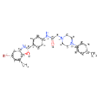 Cc1cc(Br)cc2nc(-c3ccc(NC(=O)CN4CCN(c5ccc(C(F)(F)F)cc5)CC4)cc3)oc12